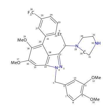 CCC(c1nn(Cc2ccc(OC)c(OC)c2)c2cc(OC)c(OC)c(-c3cccc(C(F)(F)F)c3)c12)N1CCNCC1